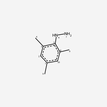 Cc1cc(C)c(NN)c(C)c1